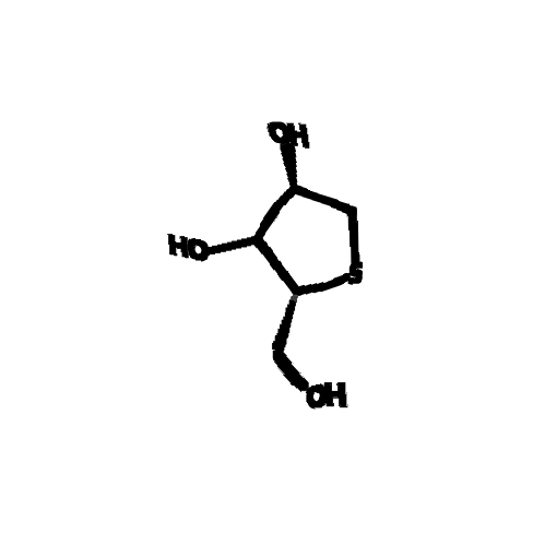 OC[C@H]1SC[C@H](O)C1O